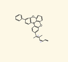 C=C/C=C\C(C)=C(/C)c1ccc2c(c1)Oc1cccc3c1B2c1ccc(-c2ccccc2)cc1O3